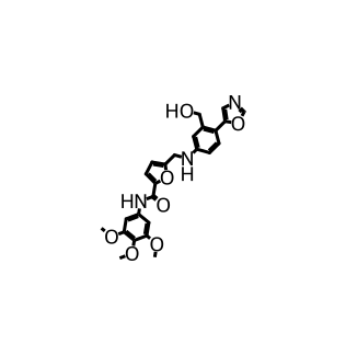 COc1cc(NC(=O)c2ccc(CNc3ccc(-c4cnco4)c(CO)c3)o2)cc(OC)c1OC